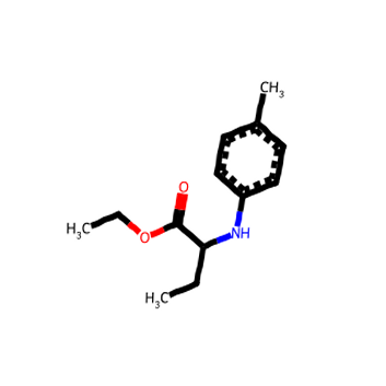 CCOC(=O)C(CC)Nc1ccc(C)cc1